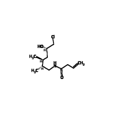 C=CCC(=O)NC[C@H](C)[C@@H](C)C[C@H](O)CCl